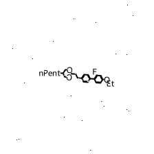 CCCCCC1COC(CCc2ccc(-c3ccc(OCC)cc3F)cc2)OC1